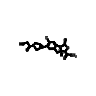 NC(=O)[C@@H]1OC(=O)N2c3cc(F)c(C4C5CN(C(=O)CO)CC54)cc3C[C@@H]12